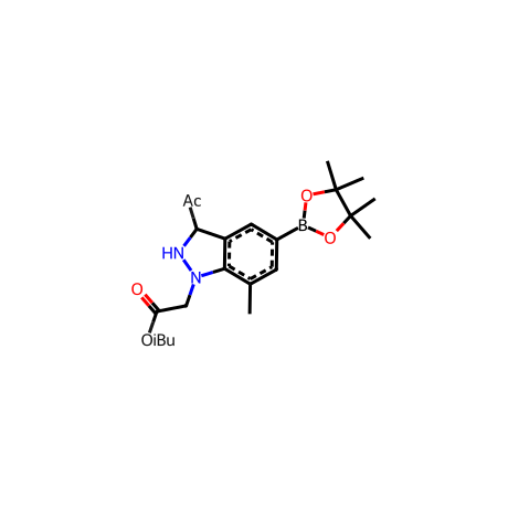 CC(=O)C1NN(CC(=O)OCC(C)C)c2c(C)cc(B3OC(C)(C)C(C)(C)O3)cc21